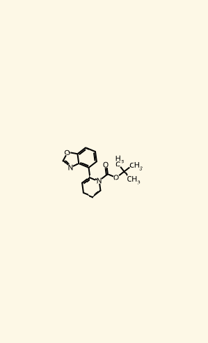 CC(C)(C)OC(=O)N1CCCC=C1c1cccc2ocnc12